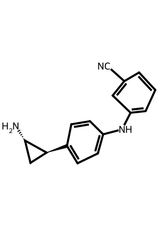 N#Cc1cccc(Nc2ccc([C@H]3C[C@@H]3N)cc2)c1